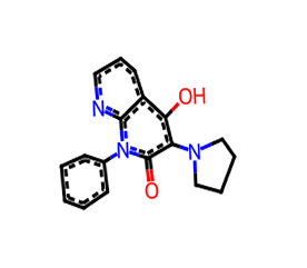 O=c1c(N2CCCC2)c(O)c2cccnc2n1-c1ccccc1